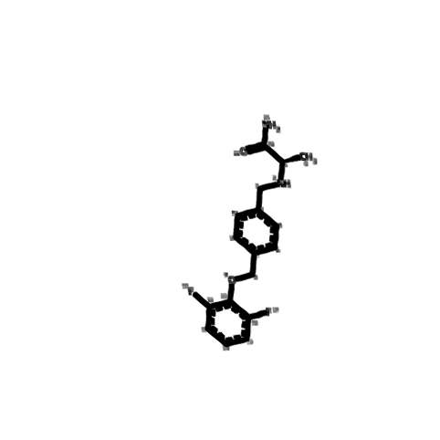 C[C@@H](NCc1ccc(COc2c(F)cccc2F)cc1)C(N)=O